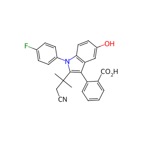 CC(C)(CC#N)c1c(-c2ccccc2C(=O)O)c2cc(O)ccc2n1-c1ccc(F)cc1